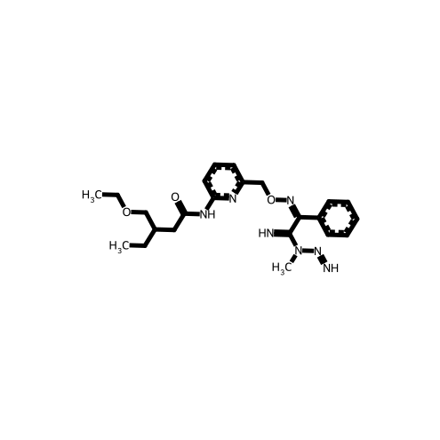 CCOCC(CC)CC(=O)Nc1cccc(CO/N=C(\C(=N)N(C)N=N)c2ccccc2)n1